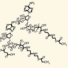 CCC(=O)SCCNC(=O)CCNC(=O)C(O)C(C)(C)COP(=O)(O)OP(=O)(O)OC[C@H]1O[C@@H](n2cnc3c(N)ncnc32)[C@H](O)[C@@H]1OP(=O)(O)O.CCC(=O)SCCNC(=O)CCNC(=O)C(O)C(C)(C)COP(=O)(O)OP(=O)(O)OC[C@H]1O[C@@H](n2cnc3c(N)ncnc32)[C@H](O)[C@@H]1OP(=O)(O)O.O=C(O)CCC(=O)O